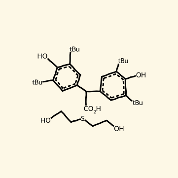 CC(C)(C)c1cc(C(C(=O)O)c2cc(C(C)(C)C)c(O)c(C(C)(C)C)c2)cc(C(C)(C)C)c1O.OCCSCCO